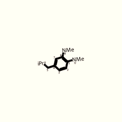 CNc1ccc(CC(C)C)cc1NC